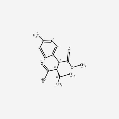 COC(=O)N(c1ccc(C)nc1)[C@H](C(=O)O)C(C)C